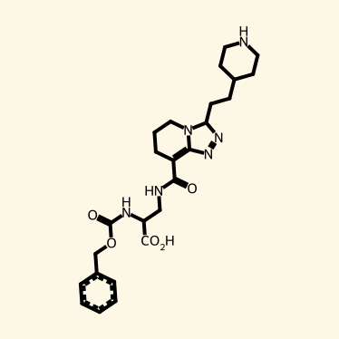 O=C(NC(CNC(=O)C1=C2N=NC(CCC3CCNCC3)N2CCC1)C(=O)O)OCc1ccccc1